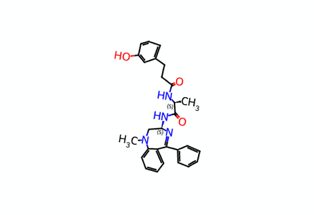 C[C@H](NC(=O)CCc1cccc(O)c1)C(=O)N[C@@H]1CN(C)c2ccccc2C(c2ccccc2)=N1